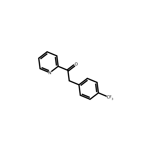 O=C(Cc1ccc(C(F)(F)F)cc1)c1ccccn1